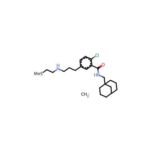 CSCCNCCCc1ccc(Cl)c(C(=O)NCC23CCCC(CCC2)C3)c1.[CH2]